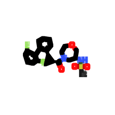 CCS(=O)(=O)N[C@@H]1COCCN(C(=O)[C@@H]2C[C@H]2c2ccccc2-c2c(F)cccc2F)C1